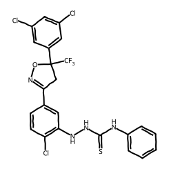 FC(F)(F)C1(c2cc(Cl)cc(Cl)c2)CC(c2ccc(Cl)c(NNC(=S)Nc3ccccc3)c2)=NO1